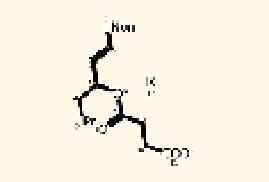 CCCCCCCCC/C=C/C(CC(C)C)OC(=O)CCC(=O)[O-].[K+]